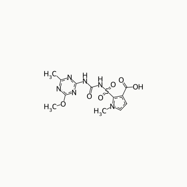 COc1nc(C)nc(NC(=O)NS(=O)(=O)c2c(C(=O)O)ccn2C)n1